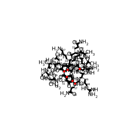 CC(=O)N[C@@H](C)C(=O)N[C@@H](C)C(=O)N[C@@H](CCC(N)=O)C(=O)N[C@@H](CCCCN)C(=O)N[C@@H](CCCNC(=N)N)C(=O)N1CCC[C@H]1C(=O)N[C@@H](CO)C(=O)N[C@@H](CCC(N)=O)C(=O)N[C@@H](CCCNC(=N)N)C(=O)N[C@@H](CO)C(=O)N[C@@H](CCCCN)C(=O)N[C@@H](Cc1ccc(O)cc1)C(=O)N[C@@H](CC(C)C)C(=O)N[C@@H](C)C(=O)N[C@@H](CO)C(=O)N[C@@H](C)C(N)=O